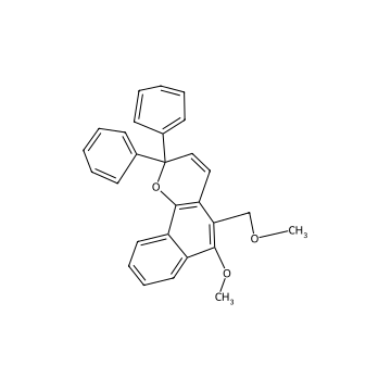 COCc1c2c(c3ccccc3c1OC)OC(c1ccccc1)(c1ccccc1)C=C2